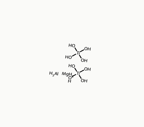 [AlH3].[MgH2].[OH][Ti]([OH])([OH])[OH].[OH][Ti]([OH])([OH])[OH]